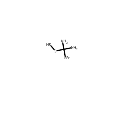 CCCC(N)(N)SS